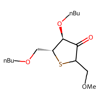 CCCCOC[C@H]1SC(COC)C(=O)[C@@H]1OCCCC